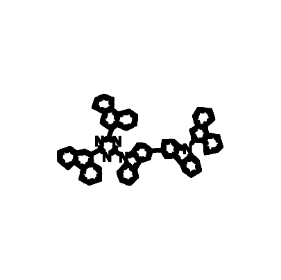 c1ccc2c(c1)cc(-c1nc(-c3cc4ccccc4c4ccccc34)nc(-n3c4ccccc4c4cc(-c5ccc6c(c5)c5ccccc5n6-c5cc6ccccc6c6ccccc56)ccc43)n1)c1ccccc12